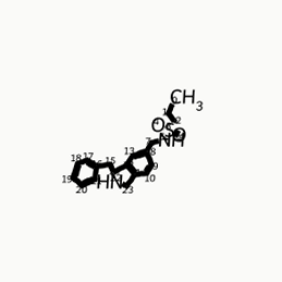 CCCS(=O)(=O)NCc1ccc2c(c1)C(Cc1ccccc1)NC2